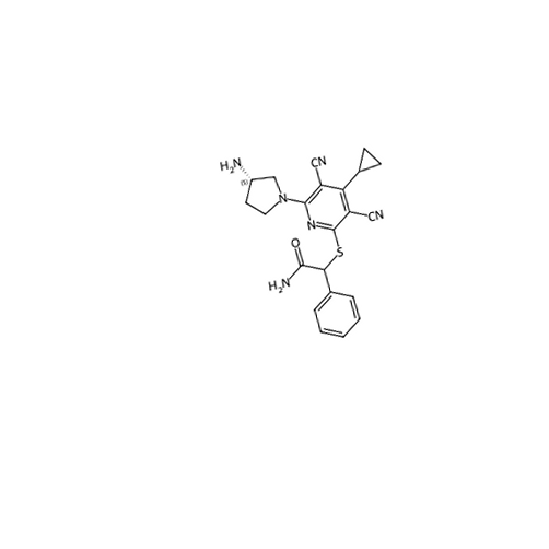 N#Cc1c(SC(C(N)=O)c2ccccc2)nc(N2CC[C@H](N)C2)c(C#N)c1C1CC1